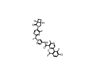 Cc1nc([C@H](C)n2cc(NC(=O)c3nc(-c4c(C(F)F)ccc(Cl)c4F)cnc3C)cn2)ncc1N1C[C@H]2CC[C@H]2C1=O